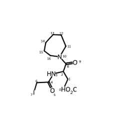 O=C(O)CC(NC(=O)CI)C(=O)N1CCCCCC1